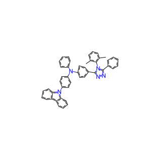 Cc1cccc(C)c1-n1c(-c2ccccc2)nnc1-c1ccc(N(c2ccccc2)c2ccc(-n3c4ccccc4c4ccccc43)cc2)cc1